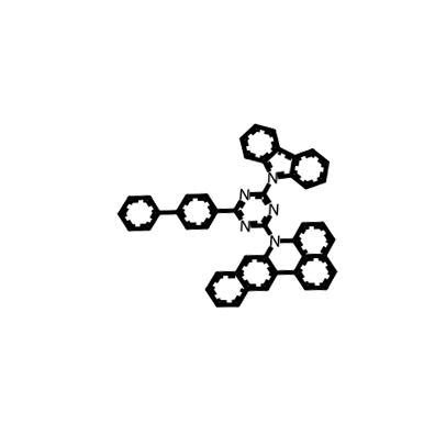 c1ccc(-c2ccc(-c3nc(N4c5cc6ccccc6cc5-c5cccc6cccc4c56)nc(-n4c5ccccc5c5ccccc54)n3)cc2)cc1